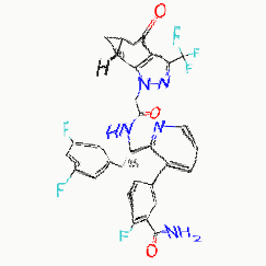 NC(=O)c1cc(-c2cccnc2[C@H](Cc2cc(F)cc(F)c2)NC(=O)Cn2nc(C(F)(F)F)c3c2[C@@H]2CC2C3=O)ccc1F